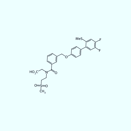 CSc1cc(F)c(F)cc1-c1ccc(OCc2cccc(C(=O)N(CCS(C)(=O)=O)CC(=O)O)c2)cc1